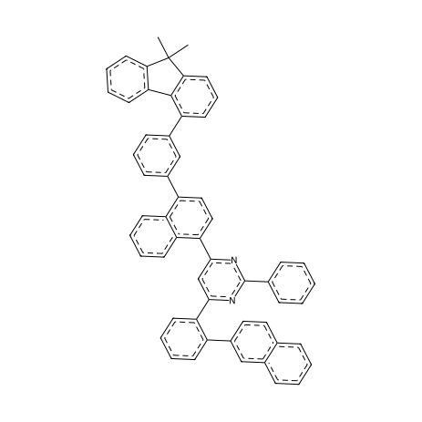 CC1(C)c2ccccc2-c2c(-c3cccc(-c4ccc(-c5cc(-c6ccccc6-c6ccc7ccccc7c6)nc(-c6ccccc6)n5)c5ccccc45)c3)cccc21